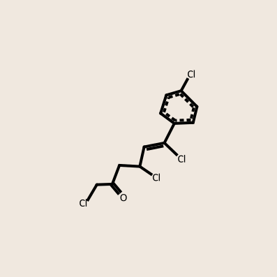 O=C(CCl)CC(Cl)C=C(Cl)c1ccc(Cl)cc1